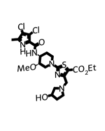 CCOC(=O)c1sc(N2CC[C@@H](NC(=O)c3[nH]c(C)c(Cl)c3Cl)[C@@H](OC)C2)nc1CN1CCC(O)C1